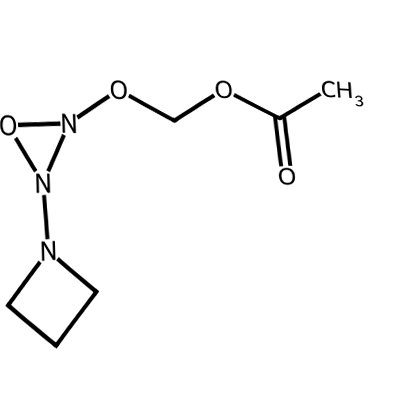 CC(=O)OCOn1on1N1CCC1